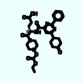 CCOC(=O)ON1CCN(C(=O)[C@H](CCC(=O)O)NC(=O)c2cc(C3CCC(=O)CC3)nc(-c3ccccc3)n2)CC1